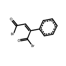 O=C(Br)/C=C(\C(=O)Br)c1ccccc1